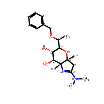 C[C@H](OCc1ccccc1)C1O[C@@H]2CC(N(C)C)=N[C@@H]2[C@@H](O)[C@@H]1O